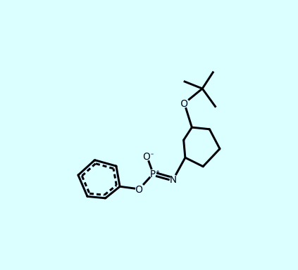 CC(C)(C)OC1CCCC(/N=[P+](\[O-])Oc2ccccc2)C1